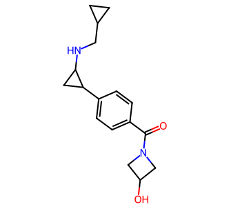 O=C(c1ccc(C2CC2NCC2CC2)cc1)N1CC(O)C1